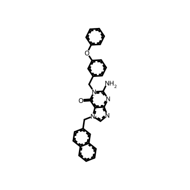 Nc1nc2ncn(Cc3ccc4ccccc4c3)c2c(=O)n1Cc1cccc(Oc2ccccc2)c1